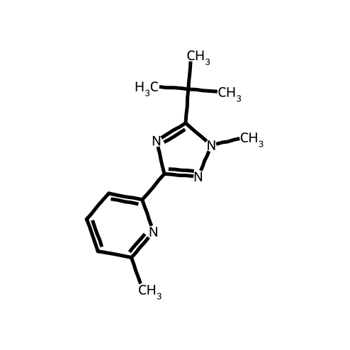 Cc1cccc(-c2nc(C(C)(C)C)n(C)n2)n1